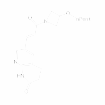 CCCCCOC1CN(C(=O)C=Cc2cnc3c(c2)CCC(=O)N3)C1